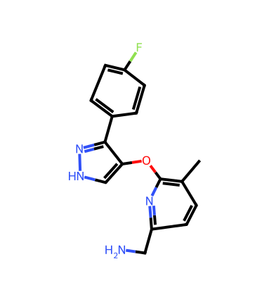 Cc1ccc(CN)nc1Oc1c[nH]nc1-c1ccc(F)cc1